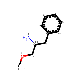 COC[C@H](N)Cc1ccccc1